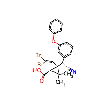 CC1(C)[C@@H](C(=O)O)[C@]1(C=C(Br)Br)[C@@H](C#N)c1cccc(Oc2ccccc2)c1